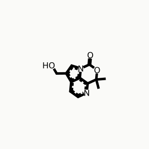 CC1(C)OC(=O)n2cc(CO)c3ccnc1c32